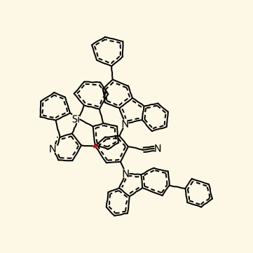 N#Cc1c(-n2c3ccccc3c3cc(-c4ccccc4)ccc32)cc(-c2ccnc3c2[Si]2(c4ccccc4-c4ccccc42)c2ccccc2-3)cc1-n1c2ccccc2c2cc(-c3ccccc3)ccc21